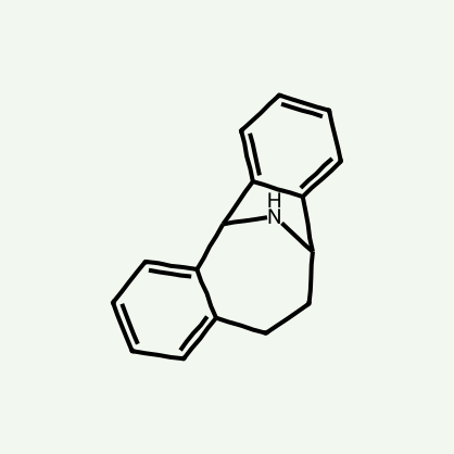 c1ccc2c(c1)CCC1NC2c2ccccc21